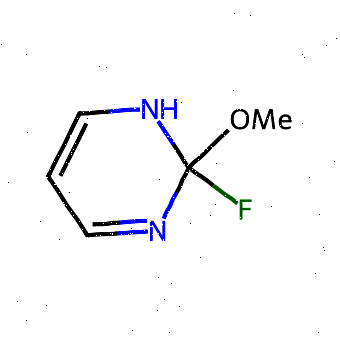 COC1(F)N=CC=CN1